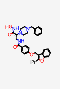 CC(C)c1oc2ccccc2c1COc1ccc(C(=O)NC[C@@H](C(=O)NO)N2CCN(Cc3ccccc3)CC2)cc1